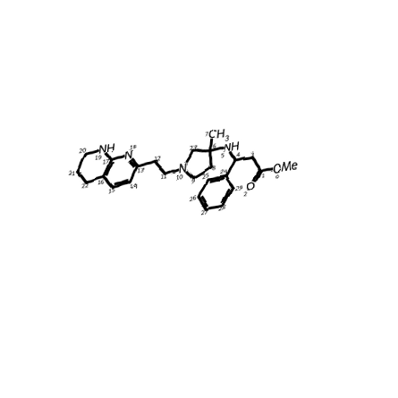 COC(=O)CC(NC1(C)CCN(CCc2ccc3c(n2)NCCC3)C1)c1ccccc1